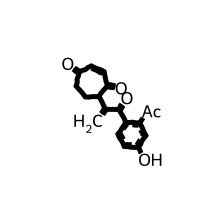 C=C(C(=O)c1ccc(O)cc1C(C)=O)C1CCC(=O)C=CC1=O